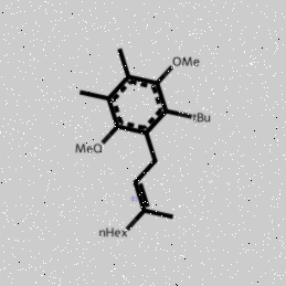 CCCCCC/C(C)=C/Cc1c(OC)c(C)c(C)c(OC)c1C(C)(C)C